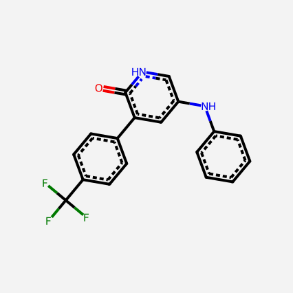 O=c1[nH]cc(Nc2ccccc2)cc1-c1ccc(C(F)(F)F)cc1